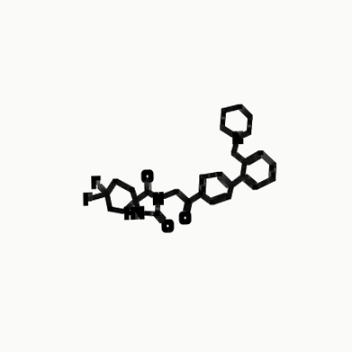 O=C(CN1C(=O)NC2(CCC(F)(F)CC2)C1=O)c1ccc(-c2ccccc2CN2CCCCC2)cc1